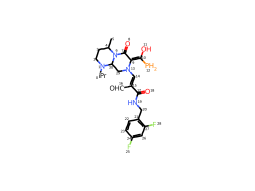 CC(C)N1CCC(C)N2C(=O)/C(=C(\O)P)N(/C=C(\C=O)C(=O)NCc3ccc(F)cc3F)CC12